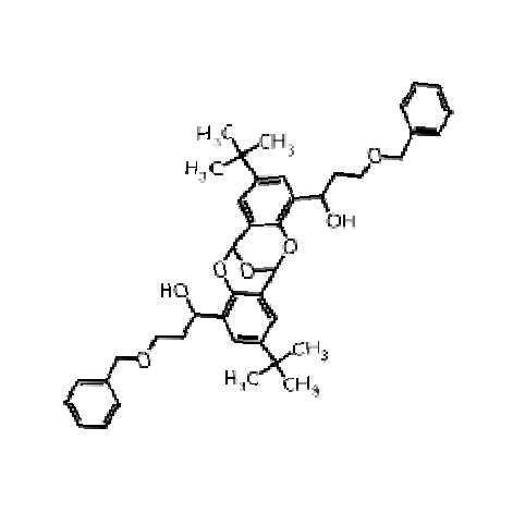 CC(C)(C)c1cc(C(O)CCOCc2ccccc2)c2c(c1)C1Oc3c(C(O)CCOCc4ccccc4)cc(C(C)(C)C)cc3C(O2)O1